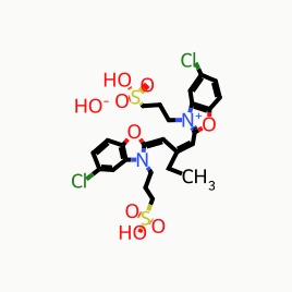 CCC(=Cc1oc2ccc(Cl)cc2[n+]1CCCS(=O)(=O)O)C=C1Oc2ccc(Cl)cc2N1CCCS(=O)(=O)O.[OH-]